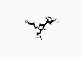 C=CCC1=NC(C(N)C=C)CN1CC=CO